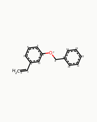 C=Cc1cccc(OCc2ccccc2)c1